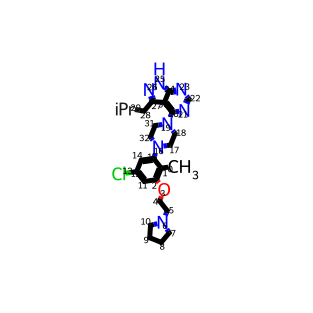 Cc1c(OCCN2CCCC2)cc(Cl)cc1N1CCN(c2ncnc3[nH]nc(CC(C)C)c23)CC1